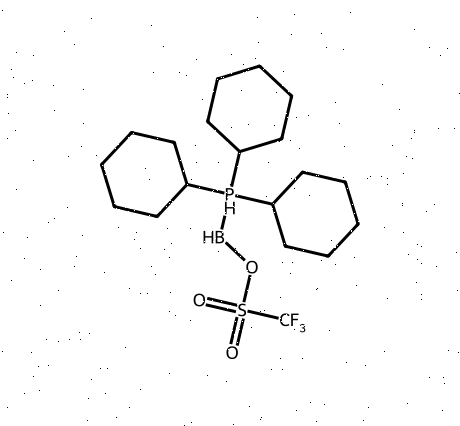 O=S(=O)(OB[PH](C1CCCCC1)(C1CCCCC1)C1CCCCC1)C(F)(F)F